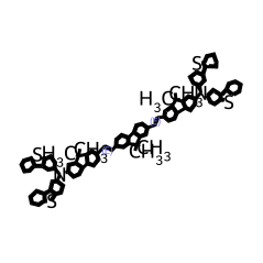 CC1(C)c2cc(/C=C/c3ccc4c(c3)C(C)(C)c3cc(N(c5ccc6sc7ccccc7c6c5)c5ccc6sc7ccccc7c6c5)ccc3-4)ccc2-c2ccc(/C=C/c3ccc4c(c3)C(C)(C)c3cc(N(c5ccc6sc7ccccc7c6c5)c5ccc6sc7ccccc7c6c5)ccc3-4)cc21